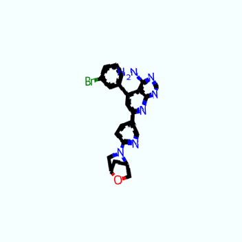 Nc1ncnc2nc(-c3ccc(N4CC5CC4CO5)nc3)cc(-c3cccc(Br)c3)c12